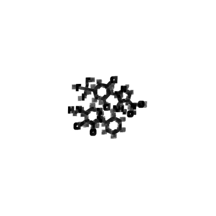 Nc1c([N+](=O)[O-])cnn1-c1c(Cl)cc(C(F)(F)F)cc1Cl.Nc1cnn(-c2ccccc2)c(=O)c1Cl